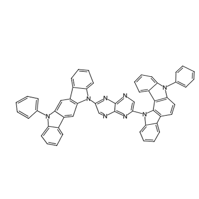 c1ccc(-n2c3ccccc3c3cc4c(cc32)c2ccccc2n4-c2cnc3nc(-n4c5ccccc5c5ccc6c(c7ccccc7n6-c6ccccc6)c54)cnc3n2)cc1